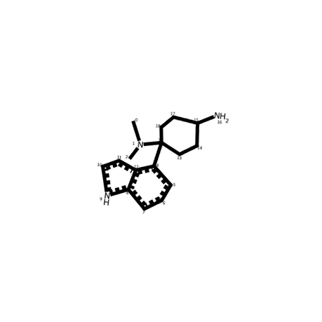 CN(C)C1(c2cccc3[nH]ccc23)CCC(N)CC1